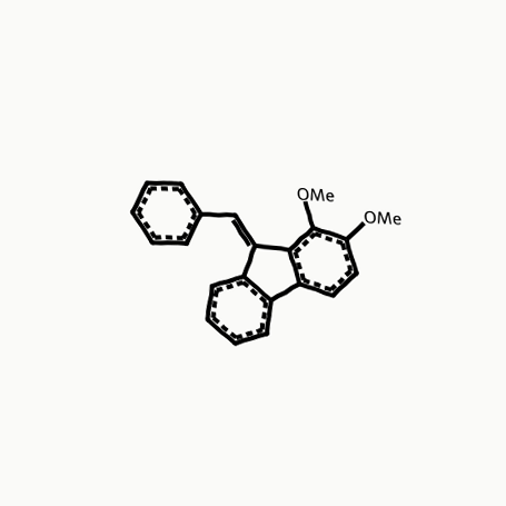 COc1ccc2c(c1OC)/C(=C/c1ccccc1)c1ccccc1-2